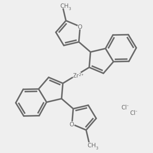 Cc1ccc(C2[C]([Zr+2][C]3=Cc4ccccc4C3c3ccc(C)o3)=Cc3ccccc32)o1.[Cl-].[Cl-]